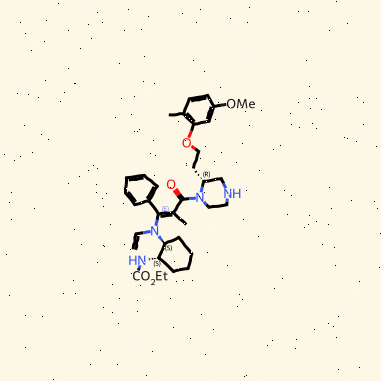 C=CN(/C(=C(\C)C(=O)N1CCNC[C@H]1CCOc1cc(OC)ccc1C)c1ccccc1)[C@H]1CCCC[C@@H]1NC(=O)OCC